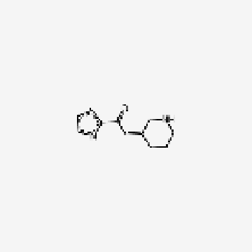 O=C(C=C1CCCNC1)c1nccs1